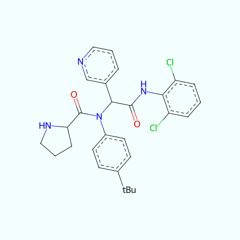 CC(C)(C)c1ccc(N(C(=O)C2CCCN2)C(C(=O)Nc2c(Cl)cccc2Cl)c2cccnc2)cc1